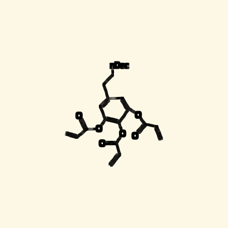 C=CC(=O)Oc1cc(CCCCCCCCCCCC)cc(OC(=O)C=C)c1OC(=O)C=C